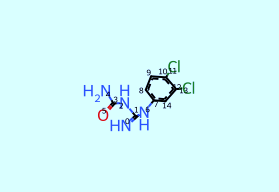 N=C(NC(N)=O)Nc1ccc(Cl)c(Cl)c1